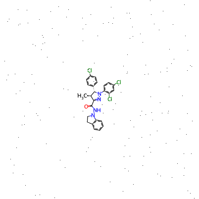 C[C@@H]1C(C(=O)NN2CCc3ccccc32)=NN(c2ccc(Cl)cc2Cl)[C@H]1c1ccc(Cl)cc1